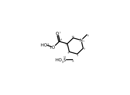 CN1CCCC(C(=O)OO)C1.CS(=O)(=O)O